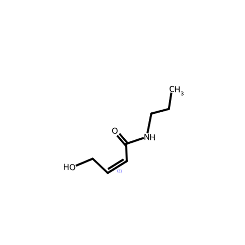 CCCNC(=O)/C=C\CO